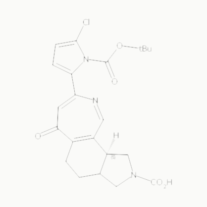 CC(C)(C)OC(=O)n1c(Cl)ccc1-c1cc(=O)c2c(cn1)[C@H]1CN(C(=O)O)CC1CC2